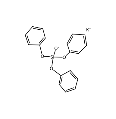 [K+].[O-][Si](Oc1ccccc1)(Oc1ccccc1)Oc1ccccc1